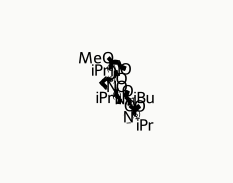 CCC(C)[C@H](OC(=O)[C@H](CC(C)C)N(C)C)C(=O)N(C)[C@H](C(=O)N1CCC[C@H]1C(=O)N1C(=O)C=C(OC)[C@@H]1C(C)C)C(C)C